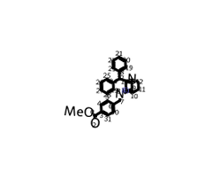 COC(=O)c1ccc(C/N=C2\C3CCN(CC3)C2C(c2ccccc2)c2ccccc2)cc1